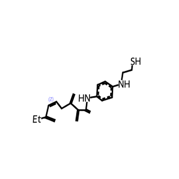 C=C(/C=C\CC(=C)C(=C)C(=C)Nc1ccc(NCCS)cc1)CC